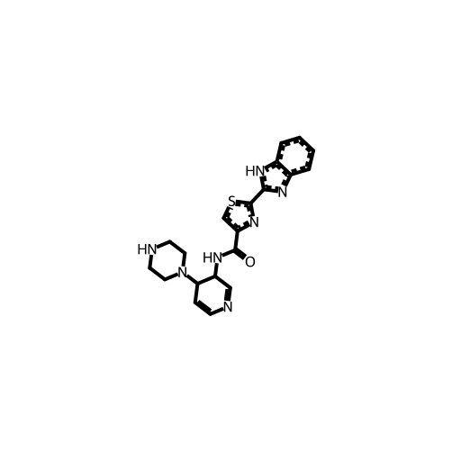 O=C(NC1C=NC=CC1N1CCNCC1)c1csc(-c2nc3ccccc3[nH]2)n1